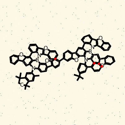 Cc1cc2c(cc1N1c3cc4c(oc5ccccc54)c4c3B(c3c1ccc1c3oc3cc(-c5ccc6c(c5)oc5c7c8c(cc56)-c5cccc6c9oc%10ccccc%10c9n(c56)B8c5cc6c(cc5N7c5ccc(C(C)(C)C)cc5-c5ccccc5)oc5ccccc56)ccc31)n1c3c-4cccc3c3oc4ccccc4c31)C(C)(C)CCC2(C)C